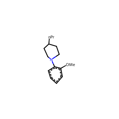 CCCC1CCN(c2ccccc2OC)CC1